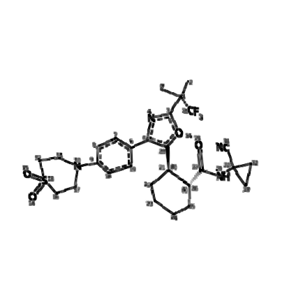 CC(C)(c1nc(-c2ccc(N3CCS(=O)(=O)CC3)cc2)c([C@@H]2CCCC[C@H]2C(=O)NC2(C#N)CC2)o1)C(F)(F)F